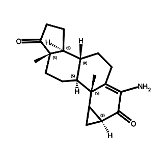 C[C@]12CC[C@H]3[C@@H](CCC4=C(N)C(=O)[C@H]5CC5[C@@]43C)[C@@H]1CCC2=O